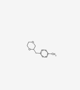 Cc1ccc([CH]C2COCCO2)cc1